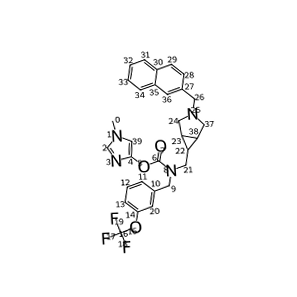 Cn1cnc(OC(=O)N(Cc2cccc(OC(F)(F)F)c2)CC2C3CN(Cc4ccc5ccccc5c4)CC32)c1